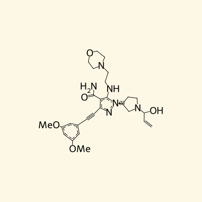 C=CC(O)N1CC[C@H](n2nc(C#Cc3cc(OC)cc(OC)c3)c(C(N)=O)c2NCCN2CCOCC2)C1